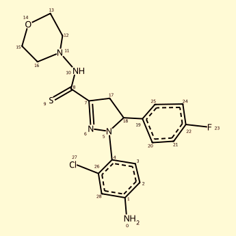 Nc1ccc(N2N=C(C(=S)NN3CCOCC3)CC2c2ccc(F)cc2)c(Cl)c1